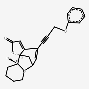 O=C1C=C2C(C#CCOc3ccccc3)=CC3C[C@@]2(O1)[C@H]1CCCCN31